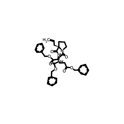 C=CC[C@@]1(C(=O)N[C@@H](CCC(=O)OCc2ccccc2)C(=O)OCc2ccccc2)CCCN1C(=O)CNC(=O)OCc1ccccc1